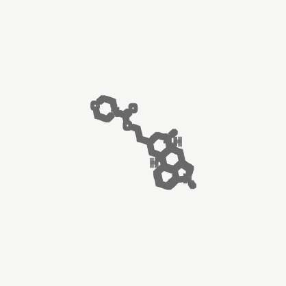 CN1CC(CCOC(=O)N2CCOCC2)C[C@H]2c3cccc4c3c(cn4C)C[C@@H]21